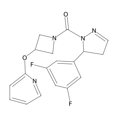 O=C(N1CC(Oc2ccccn2)C1)N1N=CCC1c1cc(F)cc(F)c1